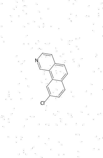 Clc1ccc2ccc3ccncc3c2c1